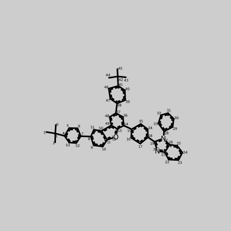 CC(C)(C)c1ccc(-c2ccc3oc4c(-c5ccc(-c6nc7ccccc7n6-c6ccccc6)cc5)cc(-c5ccc(C(C)(C)C)cc5)cc4c3c2)cc1